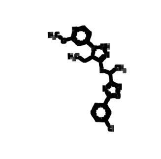 CCC1C(SC(C)c2noc(-c3cccc(Cl)c3)n2)=NNN1c1ccnc(OC)c1